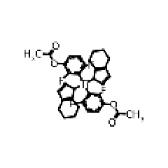 CC(=O)Oc1ccc(F)[c]([Ti]([c]2c(F)ccc(OC(C)=O)c2F)([CH]2C=CC3=C2CCCC3)[CH]2C=CC3=C2CCCC3)c1F